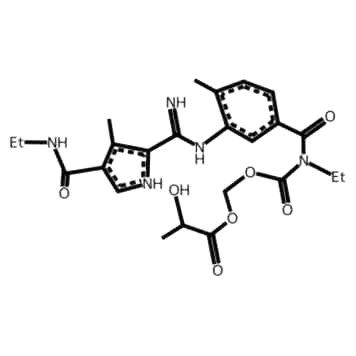 CCNC(=O)c1c[nH]c(C(=N)Nc2cc(C(=O)N(CC)C(=O)OCOC(=O)C(C)O)ccc2C)c1C